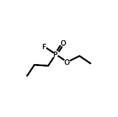 CCCP(=O)(F)OCC